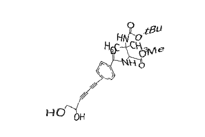 COC(=O)C(NC(=O)c1ccc(C#CC#CC(O)CO)cc1)C(C)(C)NC(=O)OC(C)(C)C